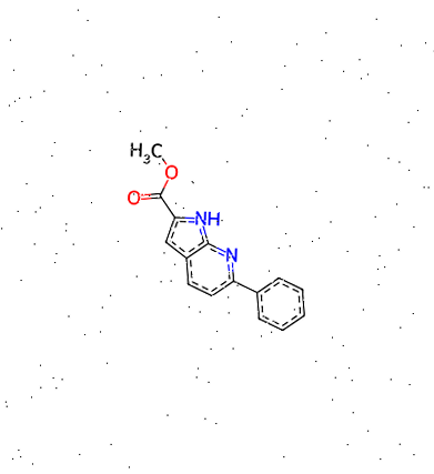 COC(=O)c1cc2ccc(-c3ccccc3)nc2[nH]1